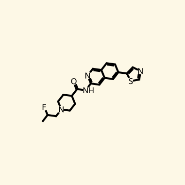 CC(F)CN1CCC(C(=O)Nc2cc3cc(-c4cncs4)ccc3cn2)CC1